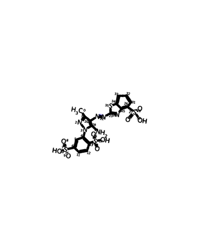 Cc1nn(-c2cc(S(=O)(=O)O)ccc2S(=O)(=O)O)c(N)c1/N=N/c1nc2c(S(=O)(=O)O)cccc2s1